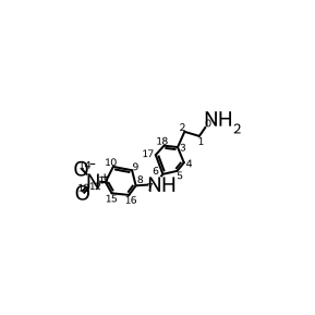 NCCc1ccc(Nc2ccc([N+](=O)[O-])cc2)cc1